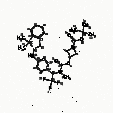 CN(C(=O)OC1CN(C(=O)OC(C)(C)C)C1)C(c1ccc(NC2Cc3ccccc3C2(C)C)cc1)C(F)(F)F